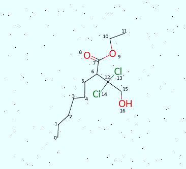 CCCCCCC(C(=O)OCC)C(Cl)(Cl)CO